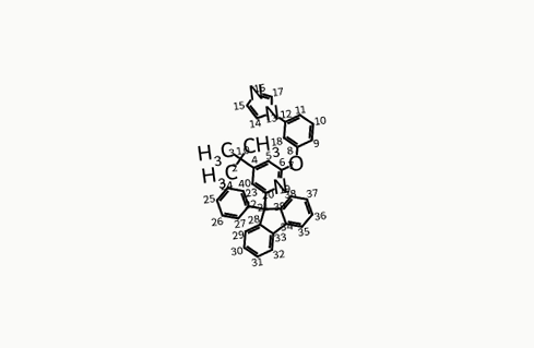 CC(C)(C)c1cc(Oc2cccc(-n3ccnc3)c2)nc(C2(c3ccccc3)c3ccccc3-c3ccccc32)c1